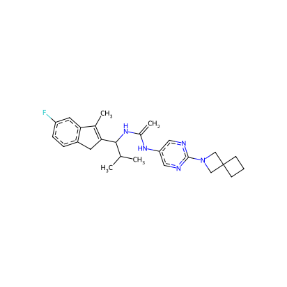 C=C(Nc1cnc(N2CC3(CCC3)C2)nc1)NC(C1=C(C)c2cc(F)ccc2C1)C(C)C